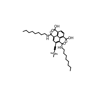 CCCCCCCCNC(=O)c1cc(C#C[Si](C)(C)C)c(C(=O)NCCCCCCCC)c2c(C(=O)O)ccc(C(=O)O)c12